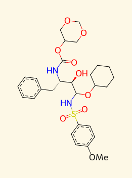 COc1ccc(S(=O)(=O)NC(OC2CCCCC2)[C@H](O)[C@H](Cc2ccccc2)NC(=O)OC2COCOC2)cc1